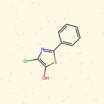 Oc1sc(-c2ccccc2)nc1Cl